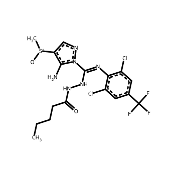 CCCCC(=O)NNC(=Nc1c(Cl)cc(C(F)(F)F)cc1Cl)n1ncc([S+](C)[O-])c1N